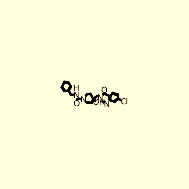 O=C(NCc1ccccc1)N1CCC(O)(Cn2cnc3cc(Cl)ccc3c2=O)CC1